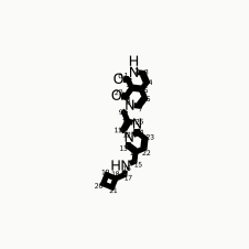 O=c1[nH]ccc2ccn(Cc3cn4cc(CNCC5CCC5)ccc4n3)c(=O)c12